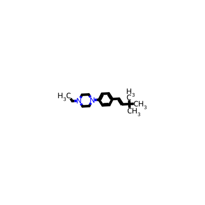 CCN1CCN(c2ccc(/C=C/C(C)(C)C)cc2)CC1